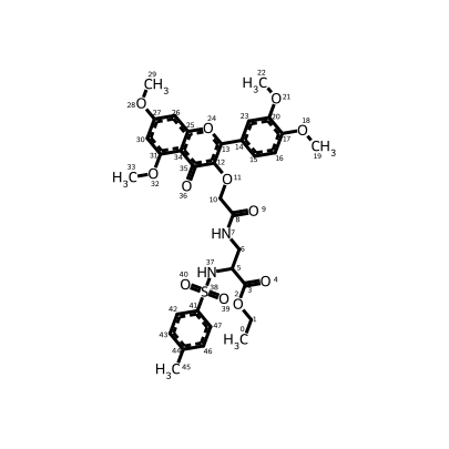 CCOC(=O)C(CNC(=O)COc1c(-c2ccc(OC)c(OC)c2)oc2cc(OC)cc(OC)c2c1=O)NS(=O)(=O)c1ccc(C)cc1